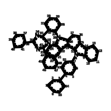 c1ccc(-c2ccc(-n3c4ccccc4c4ccc5c(c6ccccc6n5-c5ccccc5-c5nc(-c6ccccc6)nc(-c6ccccc6)n5)c43)cc2)cc1